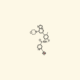 Cc1cc(F)c(NC(=O)c2ccnc(N3CC4CC3C4)c2)cc1-c1cc(N2CCOCC2)c2nccn2c1